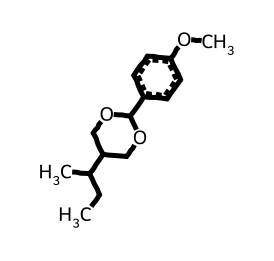 CCC(C)C1COC(c2ccc(OC)cc2)OC1